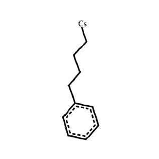 [Cs][CH2]CCCc1ccccc1